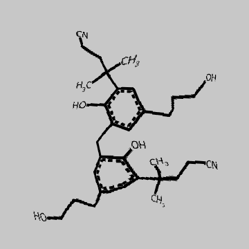 CC(C)(CCC#N)c1cc(CCCO)cc(Cc2cc(CCCO)cc(C(C)(C)CCC#N)c2O)c1O